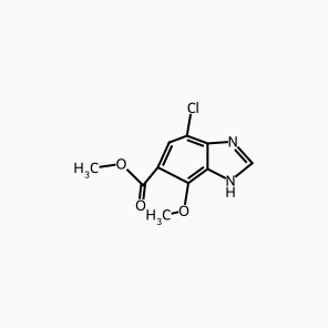 COC(=O)c1cc(Cl)c2nc[nH]c2c1OC